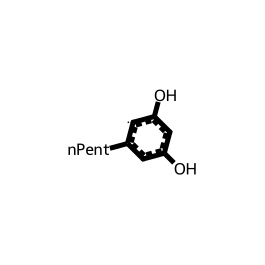 CCCCCc1[c]c(O)cc(O)c1